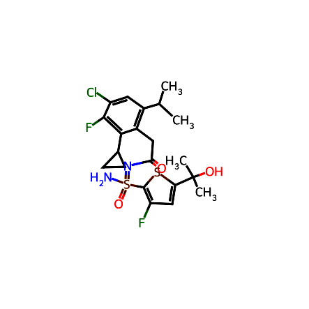 CC(C)c1cc(Cl)c(F)c(C2CC2)c1CC(=O)N=S(N)(=O)c1sc(C(C)(C)O)cc1F